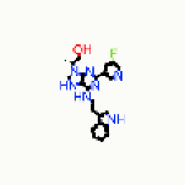 C[C@H](CO)N1CNc2c(NCCc3c[nH]c4ccccc34)nc(-c3cncc(F)c3)nc21